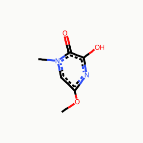 COc1cn(C)c(=O)c(O)n1